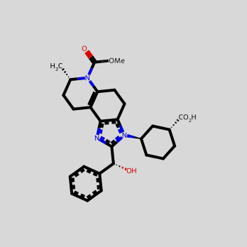 COC(=O)N1C2=C(CC[C@@H]1C)c1nc([C@H](O)c3ccccc3)n([C@@H]3CCC[C@@H](C(=O)O)C3)c1CC2